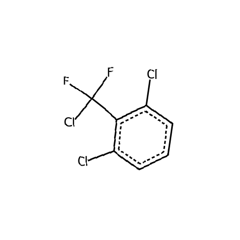 FC(F)(Cl)c1c(Cl)cccc1Cl